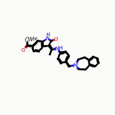 COC(=O)c1ccc2c(c1)NC(=O)C2=C(C)Nc1ccc(CN2CCc3ccccc3CC2)cc1